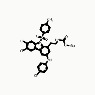 Cc1ccc(S(=O)(=O)n2c3cc(Cl)c(Cl)cc3c3cc(Nc4ccc(Cl)cc4)cc(CCNC(=O)OC(C)(C)C)c32)cc1